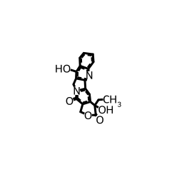 CCC1(O)C(=O)OCc2c1cc1n(c2=O)Cc2c-1nc1ccccc1c2O